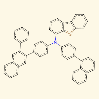 c1ccc(-c2cc3ccccc3cc2-c2ccc(N(c3ccc(-c4cccc5ccccc45)cc3)c3cccc4c3sc3ccccc34)cc2)cc1